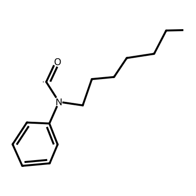 CCCCCCCN([C]=O)c1ccccc1